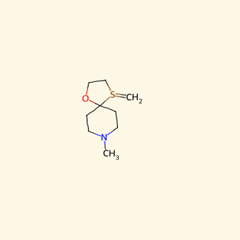 C=S1CCOC12CCN(C)CC2